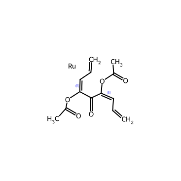 C=C/C=C(/OC(C)=O)C(=O)/C(=C\C=C)OC(C)=O.[Ru]